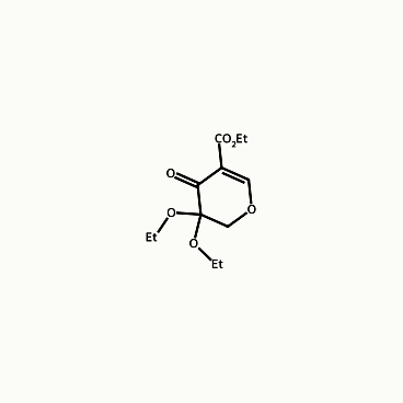 CCOC(=O)C1=COCC(OCC)(OCC)C1=O